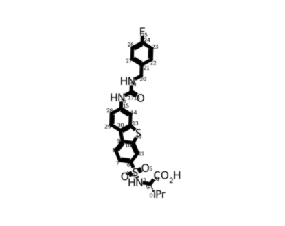 CC(C)[C@H](NS(=O)(=O)c1ccc2c(c1)sc1cc(NC(=O)NCc3ccc(F)cc3)ccc12)C(=O)O